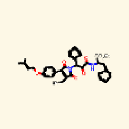 CCOC(=O)C(Cc1ccccc1)NC(=O)C(=O)C(c1ccccc1)N1C(=O)C(CC(C)C)=C(c2ccc(OCC=C(C)C)cc2)C1=O